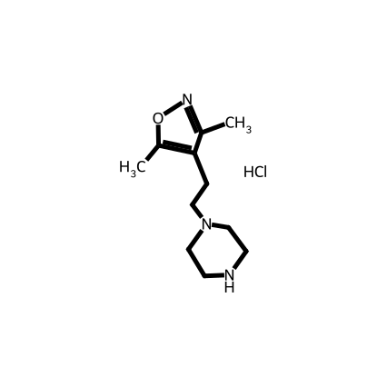 Cc1noc(C)c1CCN1CCNCC1.Cl